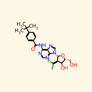 CC(C)(C)c1ccc(C(=O)Nc2ncnc3c2ncn3[C@@H]2O[C@H](CO)C(O)C2=C(F)F)cc1